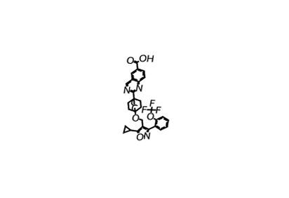 O=C(O)c1ccc2nc(C34CCC(OCc5c(-c6ccccc6OC(F)(F)F)noc5C5CC5)(CC3)CC4)ncc2c1